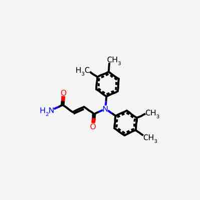 Cc1ccc(N(C(=O)/C=C/C(N)=O)c2ccc(C)c(C)c2)cc1C